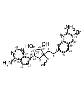 Nc1nc2cc(CC[C@@]3(CF)C[C@@H](n4ccc5c(N)ncnc54)[C@H](O)[C@@H]3O)ccc2cc1Br